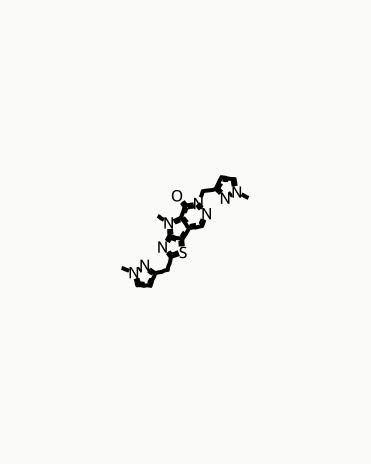 Cn1ccc(Cc2nc3c(s2)c2cnn(Cc4ccn(C)n4)c(=O)c2n3C)n1